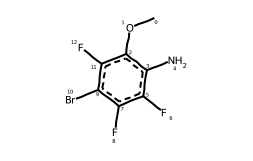 COc1c(N)c(F)c(F)c(Br)c1F